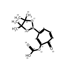 CC1(C)OB(c2cccc(=O)c(OC(=O)O)c2)OC1(C)C